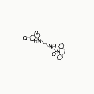 O=C(CCNCCCCNc1ccnc2cc(Cl)ccc12)N1c2ccccc2CCc2ccccc21